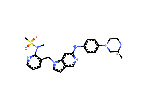 C[C@H]1CN(c2ccc(Nc3cc4c(ccn4Cc4cccnc4N(C)S(C)(=O)=O)cn3)cc2)CCN1